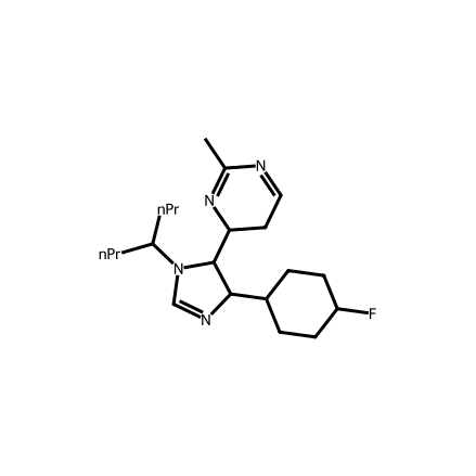 CCCC(CCC)N1C=NC(C2CCC(F)CC2)C1C1CC=NC(C)=N1